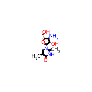 C=C1NC(=O)C(C)=CN1[C@@H]1O[C@H](CO)C(N)[C@@H]1O